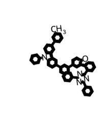 Cc1cccc(-c2ccc3c(c2)c2cc(-c4cccc(-c5ccc6oc7cccc(-c8nc(-c9ccccc9)nc(-c9ccccc9)n8)c7c6c5)c4)ccc2n3-c2ccccc2)c1